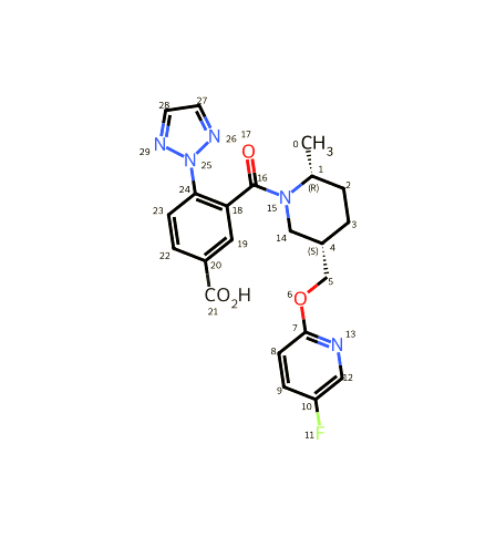 C[C@@H]1CC[C@H](COc2ccc(F)cn2)CN1C(=O)c1cc(C(=O)O)ccc1-n1nccn1